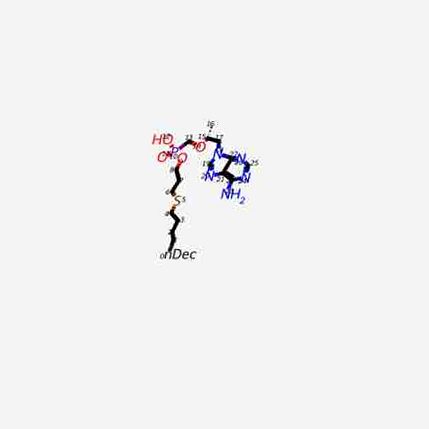 CCCCCCCCCCCCCCSCCCOP(=O)(O)CO[C@H](C)Cn1cnc2c(N)ncnc21